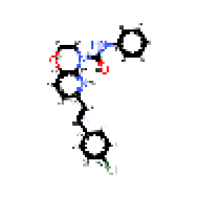 O=C(Nc1ccccc1)N1CCOc2ccc(/C=C/c3ccc(Cl)cc3)nc21